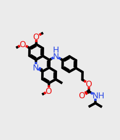 COc1cc2nc3cc(OC)c(OC)cc3c(Nc3ccc(CCOC(=O)NC(C)C)cc3)c2cc1C